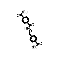 CC(C)(C)C(=O)c1ccc(CONC(=O)c2ccc(C(=O)C(C)(C)C)cc2)cc1